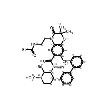 CCC(=O)NCCN1C(=O)C(C)(C)Oc2cc(C(F)(F)F)c(C(=O)N(C(C)C)[C@@H]3C(C(C)(C)C)N(C(=O)O)CC[C@H]3c3cccc(-c4ccccc4)c3)cc21